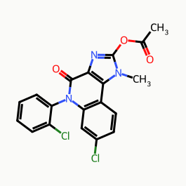 CC(=O)Oc1nc2c(=O)n(-c3ccccc3Cl)c3cc(Cl)ccc3c2n1C